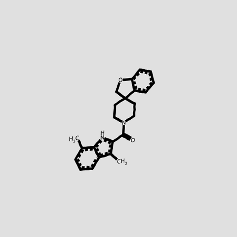 Cc1c(C(=O)N2CCC3(CC2)COc2ccccc23)[nH]c2c(C)cccc12